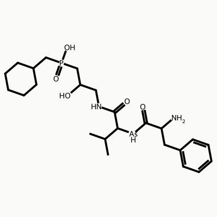 CC(C)C([AsH]C(=O)C(N)Cc1ccccc1)C(=O)NCC(O)CP(=O)(O)CC1CCCCC1